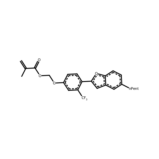 C=C(C)C(=O)OCOc1ccc(-c2cc3cc(CCCCC)ccc3o2)c(C(F)(F)F)c1